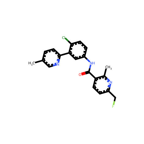 Cc1ccc(-c2cc(NC(=O)c3ccc(CF)nc3C)ccc2Cl)nc1